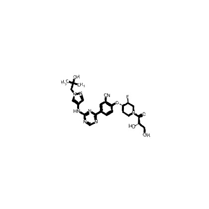 CC(C)(O)Cn1cc(Nc2ncnc(-c3ccc(O[C@H]4CCN(C(=O)[C@@H](O)CO)C[C@@H]4F)c(C#N)c3)n2)cn1